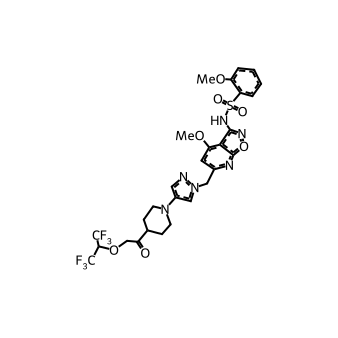 COc1ccccc1S(=O)(=O)Nc1noc2nc(Cn3cc(N4CCC(C(=O)COC(C(F)(F)F)C(F)(F)F)CC4)cn3)cc(OC)c12